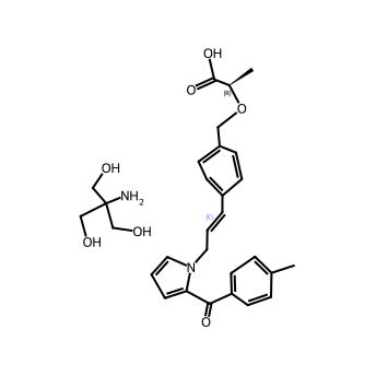 Cc1ccc(C(=O)c2cccn2C/C=C/c2ccc(CO[C@H](C)C(=O)O)cc2)cc1.NC(CO)(CO)CO